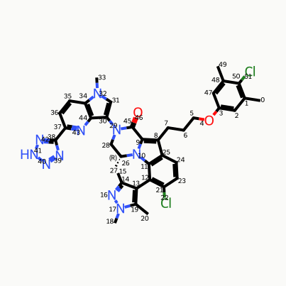 Cc1cc(OCCCc2c3n(c4c(-c5c(C)nn(C)c5C)c(Cl)ccc24)[C@H](C)CN(c2cn(C)c4ccc(-c5nn[nH]n5)nc24)C3=O)cc(C)c1Cl